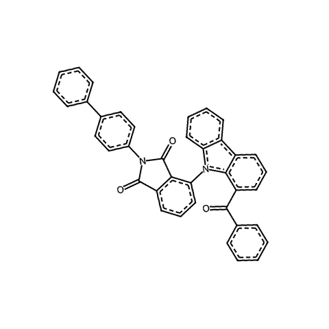 O=C(c1ccccc1)c1cccc2c3ccccc3n(-c3cccc4c3C(=O)N(c3ccc(-c5ccccc5)cc3)C4=O)c12